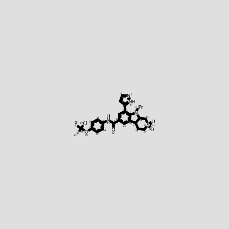 CC(C)N1c2c(-c3ccn[nH]3)cc(C(=O)Nc3ccc(OC(F)(F)Cl)cc3)cc2C2CCS(=O)(=O)CC21